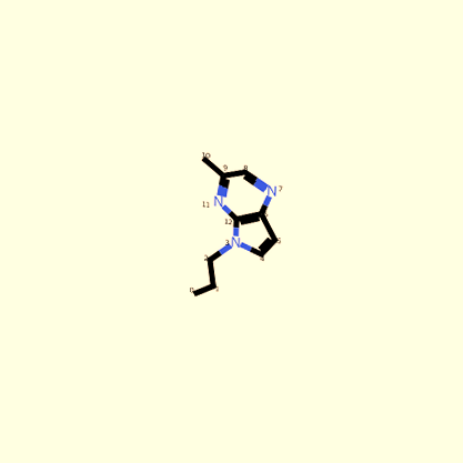 CCCn1ccc2ncc(C)nc21